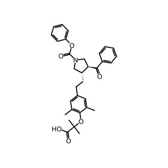 Cc1cc(CC[C@@H]2CN(C(=O)Oc3ccccc3)C[C@H]2C(=O)c2ccccc2)cc(C)c1OC(C)(C)C(=O)O